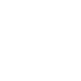 CCCCCCCC/C=C\CCCCCCCC(N)=O.C[NH+](C)[O-]